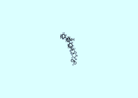 COC(=O)CC1CCC2(CC1)CCN(c1ccc(-c3nc(-c4cccnc4)n[nH]3)cn1)CC2